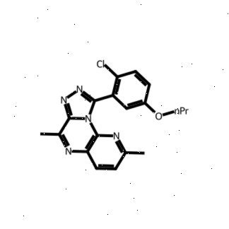 CCCOc1ccc(Cl)c(-c2nnc3c(C)nc4ccc(C)nc4n23)c1